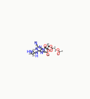 CC(=O)OCCC(=O)O[C@@H]1CO[C@@H](n2cnc3c(Nc4cc[nH]c4)nc(C#N)nc32)[C@@H]1OC(C)=O